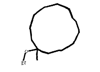 CCOC1(C)CCCCCCCCCCC1